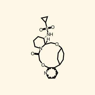 O=C1COc2ncccc2C2CCC(CC2)OC[C@H]2[C@@H](NS(=O)(=O)C3CC3)CCCN12